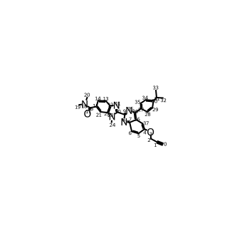 C#CCOc1ccc2nc(-c3nc4ccc(C(=O)N(C)C)cc4n3C)nc(-c3ccc(C(C)C)cc3)c2c1